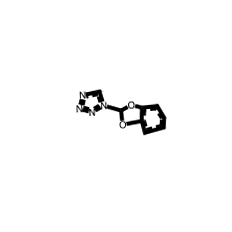 [c]1nnnn1C1Oc2ccccc2O1